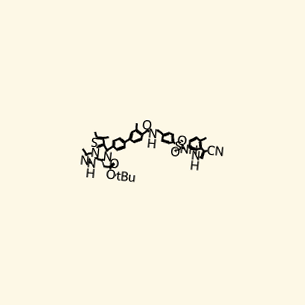 CC1=NNC2[C@H](CC(=O)OC(C)(C)C)N=C(c3ccc(-c4ccc(C(=O)NCc5ccc(S(=O)(=O)Nc6ccc(C)c7c(C#N)c[nH]c67)cc5)c(C)c4)cc3)c3c(sc(C)c3C)N12